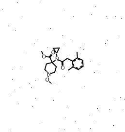 COC(=O)C1(N(C(=O)Cc2c(C)cccc2C)C2CC2)CCN(OC)CC1